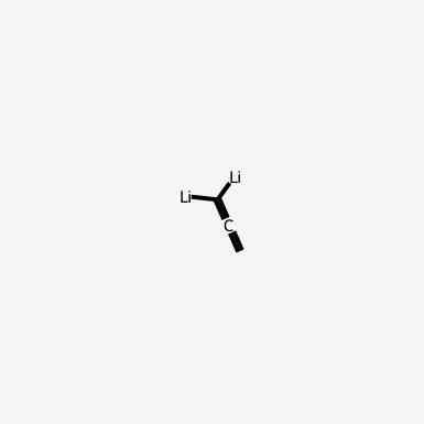 [Li][C]([Li])=C=C